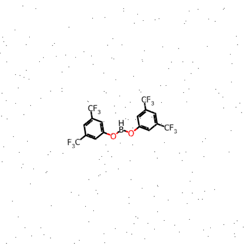 FC(F)(F)c1cc(OBOc2cc(C(F)(F)F)cc(C(F)(F)F)c2)cc(C(F)(F)F)c1